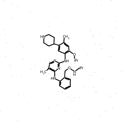 Cc1cc(OC(C)C)c(Nc2ncc(C)c(Nc3ccccc3CONC(C)C)n2)cc1C1CCNCC1